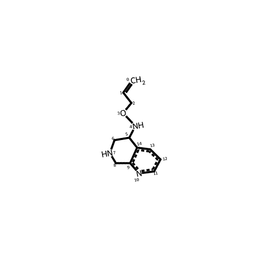 C=CCONC1CNCc2ncccc21